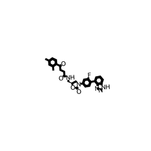 Cc1ccc(C(=O)CCC(=O)NC[C@H]2CN(c3ccc(-c4cccc5[nH]nnc45)c(F)c3)C(=O)O2)c(C)c1